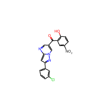 O=C(c1cnc2cc(-c3cccc(Cl)c3)nn2c1)c1cc([N+](=O)[O-])ccc1O